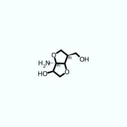 N[C@]12OC[C@@H](CO)C1OCC2O